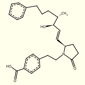 C[C@@H](CCCc1ccccc1)[C@H](O)/C=C/[C@H]1CCC(=O)N1CCc1ccc(C(=O)O)cc1